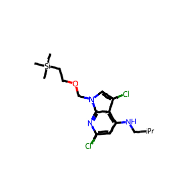 CC(C)CNc1cc(Cl)nc2c1c(Cl)cn2COCC[Si](C)(C)C